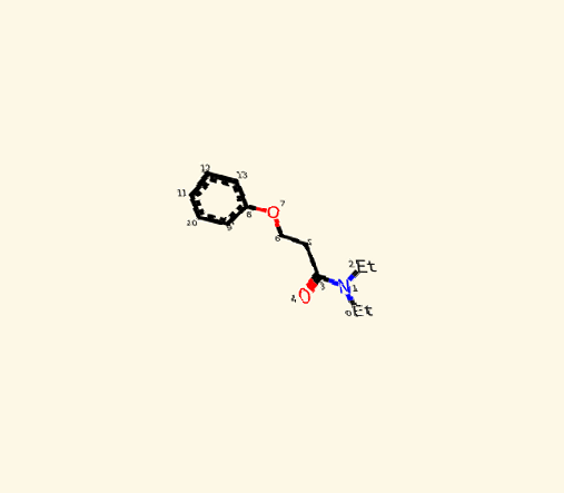 CCN(CC)C(=O)CCOc1[c]cccc1